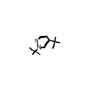 CC(C)(C)C1=CN(C(C)(C)C)N=C=C1